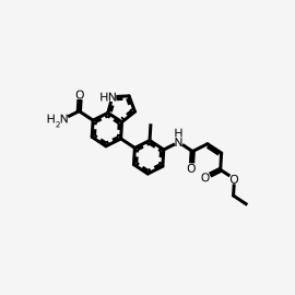 CCOC(=O)/C=C\C(=O)Nc1cccc(-c2ccc(C(N)=O)c3[nH]ccc23)c1C